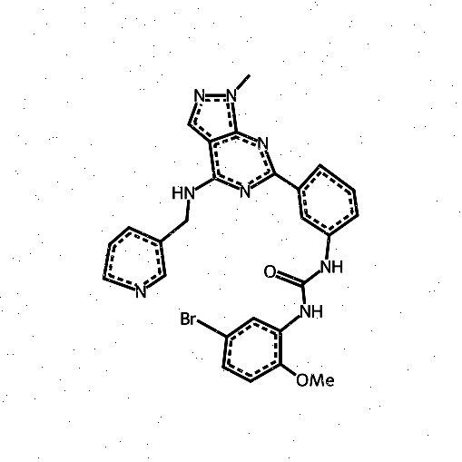 COc1ccc(Br)cc1NC(=O)Nc1cccc(-c2nc(NCc3cccnc3)c3cnn(C)c3n2)c1